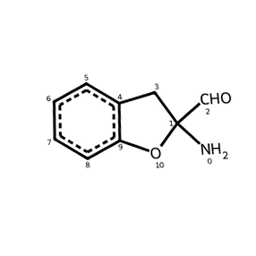 NC1(C=O)Cc2ccccc2O1